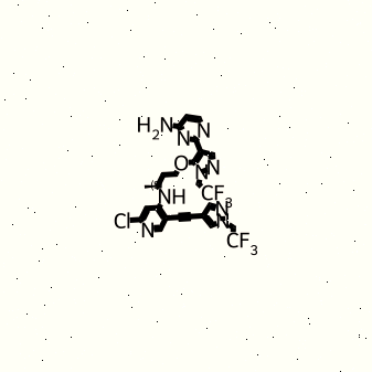 C[C@@H](CCOc1c(-c2nccc(N)n2)cnn1CC(F)(F)F)Nc1cc(Cl)ncc1C#Cc1cnn(CC(F)(F)F)c1